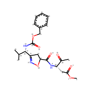 COC(=O)C[C@H](NC(=O)C1CC([C@@H](NC(=O)OCc2ccccc2)C(C)C)=NO1)C(C)=O